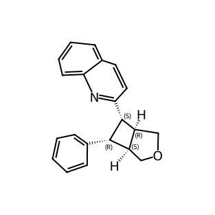 c1ccc([C@H]2[C@@H]3COC[C@@H]3[C@H]2c2ccc3ccccc3n2)cc1